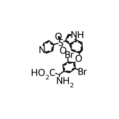 N[C@@H](C(=O)O)c1cc(Br)c(Oc2ccc3[nH]cc(S(=O)(=O)c4ccncc4)c3c2)c(Br)c1